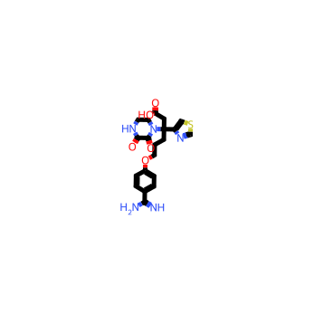 N=C(N)c1ccc(OCCCC(CC(=O)O)(c2cscn2)N2CCNC(=O)C2=O)cc1